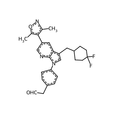 Cc1noc(C)c1-c1cnc2c(c1)c(CC1CCC(F)(F)CC1)cn2-c1ccc(CC=O)cc1